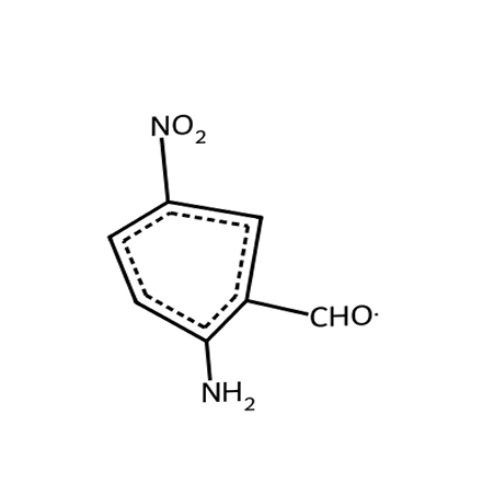 Nc1ccc([N+](=O)[O-])cc1[C]=O